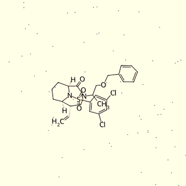 C=C[C@H]1CN(C(C)COCc2ccccc2)C(=O)[C@@H]2CCC[C@H]1N2S(=O)(=O)c1cc(Cl)cc(Cl)c1